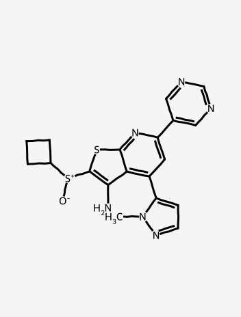 Cn1nccc1-c1cc(-c2cncnc2)nc2sc([S+]([O-])C3CCC3)c(N)c12